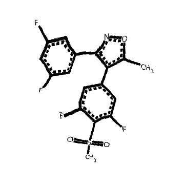 Cc1onc(-c2cc(F)cc(F)c2)c1-c1cc(F)c(S(C)(=O)=O)c(F)c1